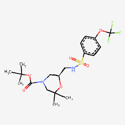 CC(C)(C)OC(=O)N1C[C@@H](CNS(=O)(=O)c2ccc(OC(F)(F)F)cc2)OC(C)(C)C1